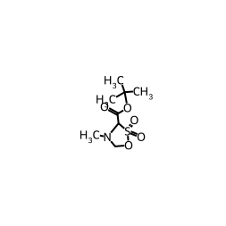 CN1COS(=O)(=O)C1C(=O)OC(C)(C)C